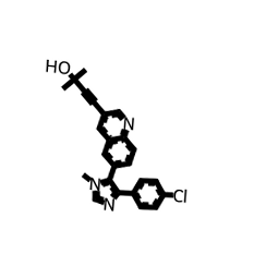 Cn1cnc(-c2ccc(Cl)cc2)c1-c1ccc2ncc(C#CC(C)(C)O)cc2c1